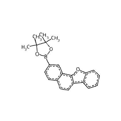 CC1(C)OB(c2ccc3ccc4c5ccccc5oc4c3c2)OC1(C)C